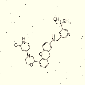 CCN(C)c1cncc(CNc2ccc3c(c2)Cc2cccc(C4CN(c5cc[nH]c(=O)c5)CCO4)c2O3)c1